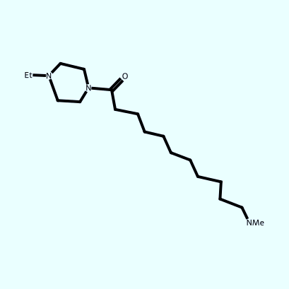 CCN1CCN(C(=O)CCCCCCCCCCNC)CC1